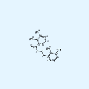 CCc1ccnc(CCCN(C)c2ccnc(C(C)C)c2C(C)C)c1C(C)C